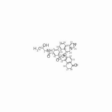 CC(O)CNC(=O)c1cccc(S(=O)(=O)Cc2c(O[C@H](Cn3ccnc3)c3ccccc3)ccc3c2CCCC3=O)c1